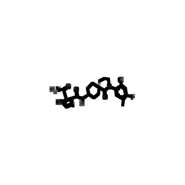 Cc1cc(N2CCC[C@]3(CC[C@H](NC(=O)c4nc[nH]c4C(N)=O)CC3)C2=O)c(Cl)cc1F